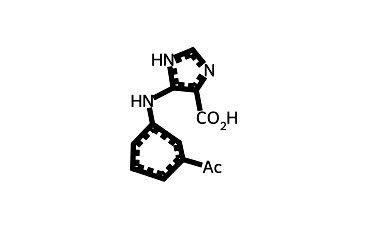 CC(=O)c1cccc(Nc2[nH]cnc2C(=O)O)c1